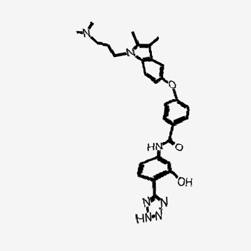 Cc1c(C)n(CCCN(C)C)c2ccc(Oc3ccc(C(=O)Nc4ccc(-c5nn[nH]n5)c(O)c4)cc3)cc12